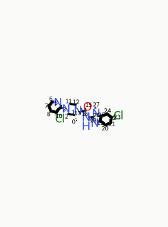 C[C@@H]1CN(c2ncccc2Cl)CCN1C(=O)Nc1nc2ccc(Cl)cc2n1C